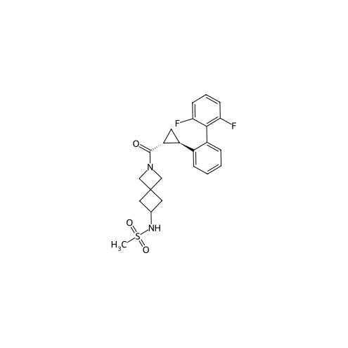 CS(=O)(=O)NC1CC2(C1)CN(C(=O)[C@@H]1C[C@H]1c1ccccc1-c1c(F)cccc1F)C2